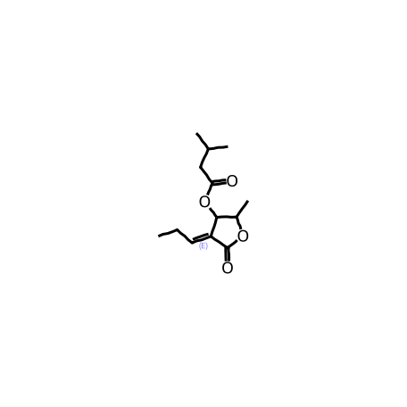 CC/C=C1/C(=O)OC(C)C1OC(=O)CC(C)C